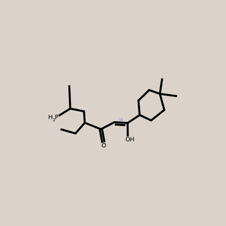 CCC(CC(C)P)C(=O)/C=C(\O)C1CCC(C)(C)CC1